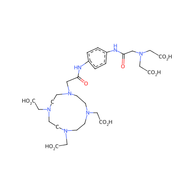 O=C(O)CN1CCN(CC(=O)O)CCN(CC(=O)Nc2ccc(NC(=O)CN(CC(=O)O)CC(=O)O)cc2)CCN(CC(=O)O)CC1